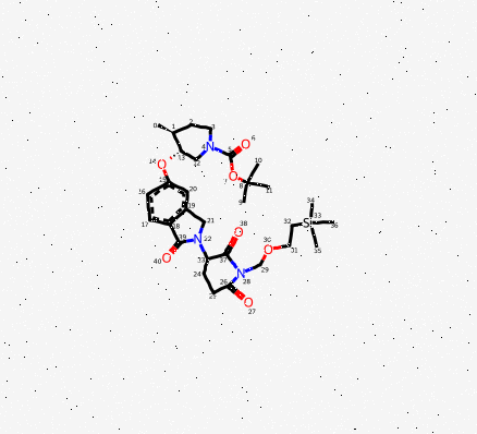 C[C@H]1CCN(C(=O)OC(C)(C)C)C[C@@H]1Oc1ccc2c(c1)CN(C1CCC(=O)N(COCC[Si](C)(C)C)C1=O)C2=O